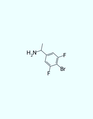 CC(N)c1cc(F)c(Br)c(F)c1